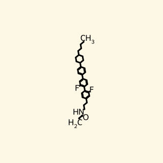 C=CC(=O)NCCCc1ccc(-c2ccc(-c3ccc(C4CCC(CCCCC)CC4)cc3)cc2F)c(F)c1